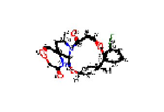 C[C@@H]1CC2(COCC(=O)N2)C2CO[C@H]3CC[C@H](CC3)c3cccc(F)c3OCCC(=O)N21